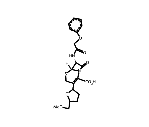 COCC1CCC(C2=C(C(=O)O)N3C(=O)[C@@H](NC(=O)COc4ccccc4)[C@H]3SC2)O1